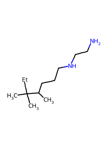 CCC(C)(C)C(C)CCCNCCN